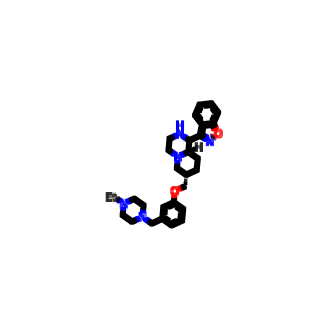 CCN1CCN(Cc2cccc(OC[C@H]3CC[C@H]4C(c5noc6ccccc56)NCCN4C3)c2)CC1